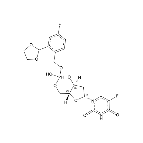 O=c1[nH]c(=O)n([C@H]2C[C@@H]3O[PH](O)(OCc4ccc(F)cc4C4OCCO4)OC[C@H]3O2)cc1F